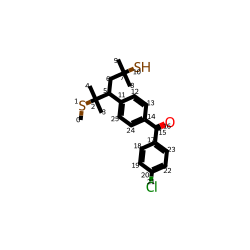 CSC(C)(C)C(CC(C)(C)S)c1ccc(C(=O)c2ccc(Cl)cc2)cc1